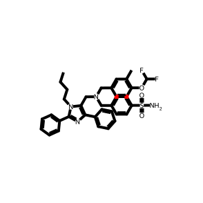 CCCCn1c(-c2ccccc2)nc(-c2ccccc2)c1CN(Cc1ccc(S(N)(=O)=O)cc1)Cc1ccc(OC(F)F)c(C)c1